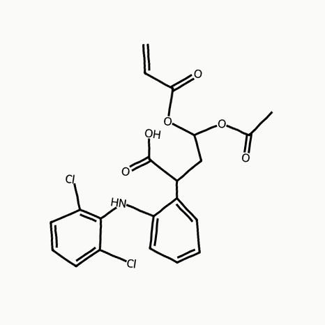 C=CC(=O)OC(CC(C(=O)O)c1ccccc1Nc1c(Cl)cccc1Cl)OC(C)=O